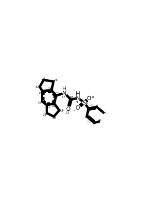 C/C=C\C(=C/C)S(=O)(=O)NC(=O)Nc1c2c(cc3c1CCC3)CCC2